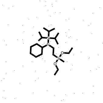 CCO[Si](C)(CCN(C1CCCCC1)[Si](C(C)C)(C(C)C)C(C)C)OCC